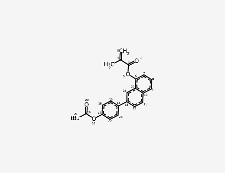 C=C(C)C(=O)Oc1cccc2ccc(-c3ccc(OC(=O)C(C)(C)C)cc3)cc12